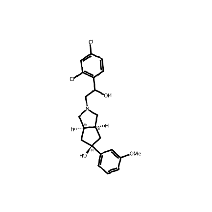 COc1cccc([C@]2(O)C[C@H]3CN(CC(O)c4ccc(Cl)cc4Cl)C[C@H]3C2)c1